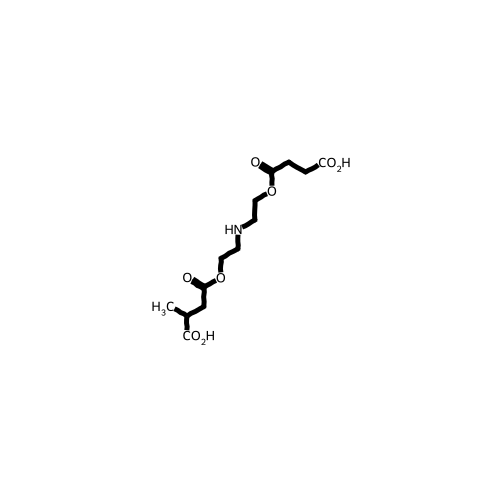 CC(CC(=O)OCCNCCOC(=O)CCC(=O)O)C(=O)O